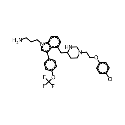 NCCCn1cc(-c2ccc(OC(F)(F)F)cc2)c2c(CC3CCN(CCOc4ccc(Cl)cc4)CN3)cccc21